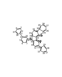 c1ccc(-c2cccc(-n3c4ccc(-c5ccccc5)nc4c4c5sc6ccccc6c5ccc43)c2)cc1